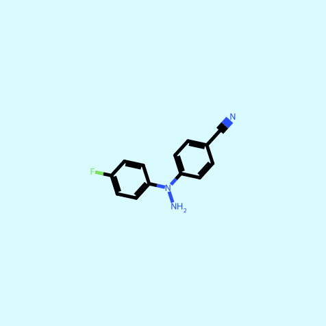 N#Cc1ccc(N(N)c2ccc(F)cc2)cc1